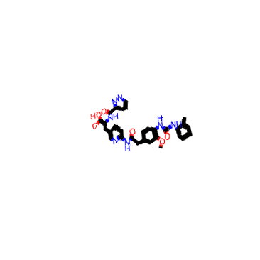 COc1cc(CC(=O)Nc2ccc(CC(NC(=O)c3cccnn3)C(=O)O)cn2)ccc1NC(=O)Nc1ccccc1C